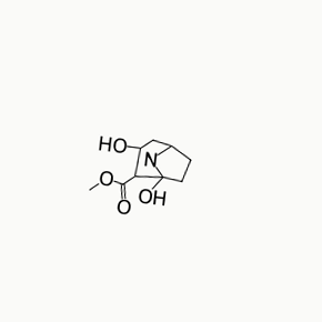 COC(=O)C1C(O)CC2CCC1(O)N2C